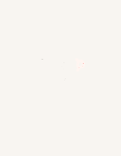 CCCC1CCOCC1CCC